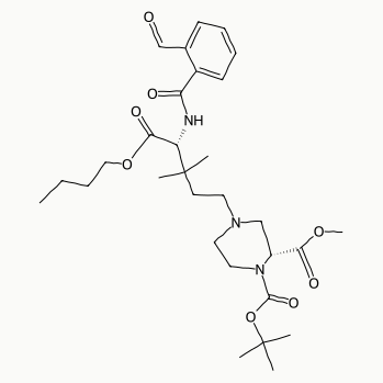 CCCCOC(=O)[C@H](NC(=O)c1ccccc1C=O)C(C)(C)CCN1CCN(C(=O)OC(C)(C)C)[C@@H](C(=O)OC)C1